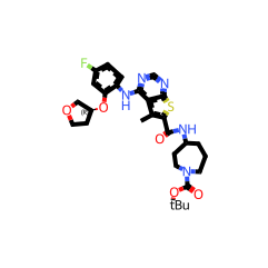 Cc1c(C(=O)NC2CCCN(C(=O)OC(C)(C)C)CC2)sc2ncnc(Nc3ccc(F)cc3O[C@@H]3CCOC3)c12